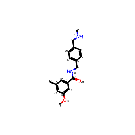 CNCc1ccc(CNC(=O)c2cc(C)cc(OC)c2)cc1